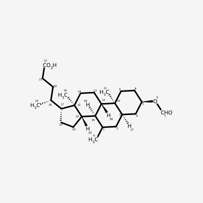 CC1C[C@@H]2C[C@H](OC=O)CC[C@]2(C)[C@H]2CC[C@]3(C)[C@@H]([C@H](C)CCC(=O)O)CC[C@H]3[C@H]12